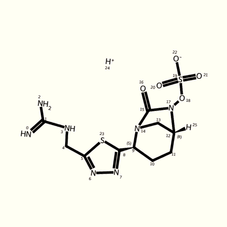 N=C(N)NCc1nnc([C@@H]2CC[C@@H]3CN2C(=O)N3OS(=O)(=O)[O-])s1.[H+]